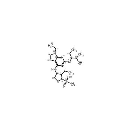 CCC1C(Nc2nc(N[C@@H](CC)[C@@H](C)O)nc3c2ncn3CC)CCN1S(N)(=O)=O